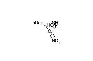 CCCCCCCCCCCCCCCOC(CCOP(=O)(O)O)c1ccc([N+](=O)[O-])cc1